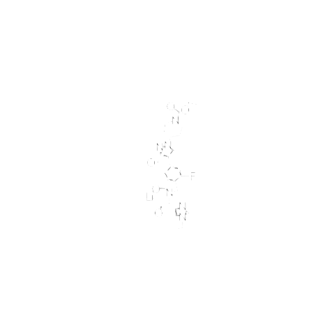 [Li][C](=O)C(c1ncn2c1CCC2)N1Cc2c(F)cc(-c3cnn(C4CCN(C(=O)OC(C)(C)C)CC4)c3)cc2C1=O.[O-2]